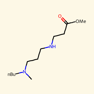 CCCCN(C)CCCNCCC(=O)OC